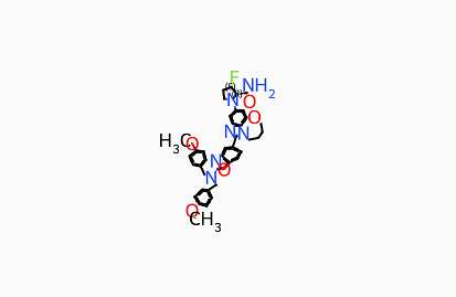 COc1ccc(CN(Cc2ccc(OC)cc2)c2nc3cc(-c4nc5cc(N6CC[C@H](F)[C@H]6C(N)=O)cc6c5n4CCCCO6)ccc3o2)cc1